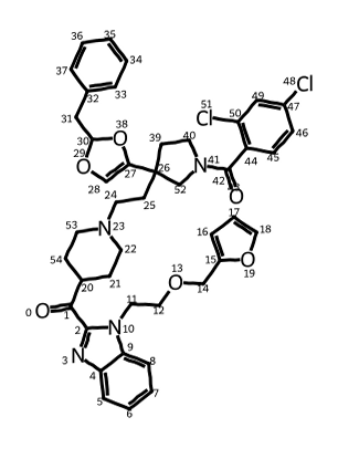 O=C(c1nc2ccccc2n1CCOCc1ccco1)C1CCN(CCC2(C3=COC(Cc4ccccc4)O3)CCN(C(=O)c3ccc(Cl)cc3Cl)C2)CC1